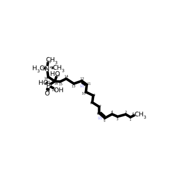 CCCCC/C=C\CCCC/C=C\CCCC(O)(C[N+](C)(C)C)P(=O)(O)O